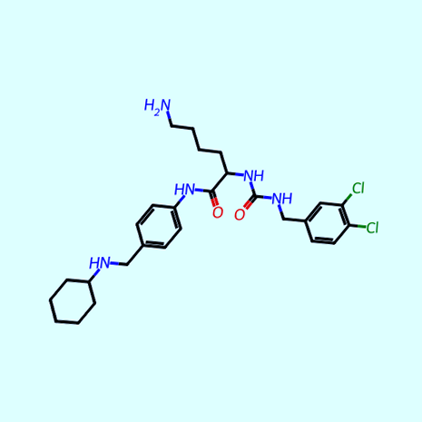 NCCCCC(NC(=O)NCc1ccc(Cl)c(Cl)c1)C(=O)Nc1ccc(CNC2CCCCC2)cc1